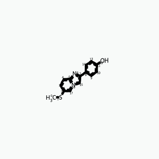 CSc1ccc2nc(-c3ccc(O)cc3)cn2c1